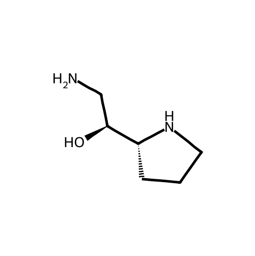 NC[C@H](O)[C@H]1CCCN1